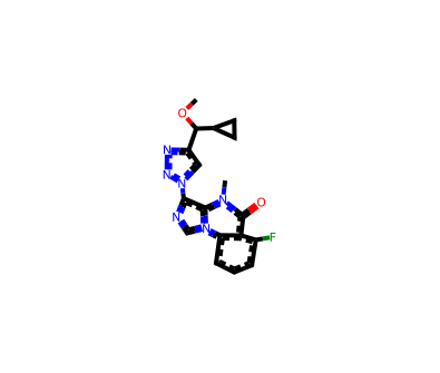 COC(c1cn(-c2ncn3c4cccc(F)c4c(=O)n(C)c23)nn1)C1CC1